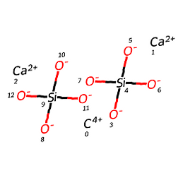 [C+4].[Ca+2].[Ca+2].[O-][Si]([O-])([O-])[O-].[O-][Si]([O-])([O-])[O-]